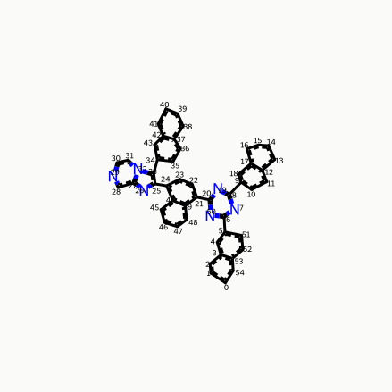 c1ccc2cc(-c3nc(-c4ccc5ccccc5c4)nc(-c4ccc(-c5nc6cnccn6c5-c5ccc6ccccc6c5)c5ccccc45)n3)ccc2c1